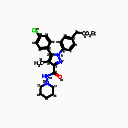 CCOC(=O)Cc1ccc(-n2nc(C(=O)NN3CCCCC3)c(C)c2-c2ccc(Cl)cc2)cc1